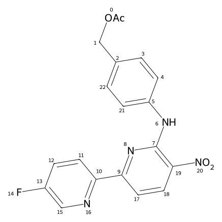 CC(=O)OCc1ccc(Nc2nc(-c3ccc(F)cn3)ccc2[N+](=O)[O-])cc1